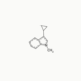 Cn1cc(C2[CH]C2)c2ccccc21